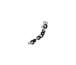 O=C1CCC(N2Cc3cc4c(cc3C2)OC2(CC4)CCN(C3CC4(CCNCC4)C3)CC2)C(=O)N1